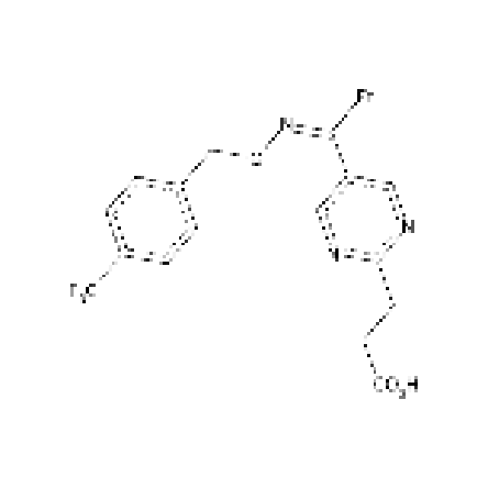 CCC(=NOCc1ccc(C(F)(F)F)cc1)c1cnc(CCC(=O)O)nc1